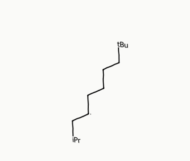 CC(C)C[CH]CCCCC(C)(C)C